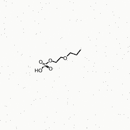 CCCOCCOS(=O)(=O)O